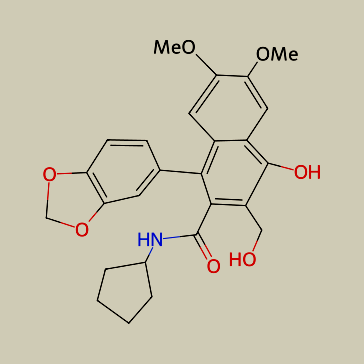 COc1cc2c(O)c(CO)c(C(=O)NC3CCCC3)c(-c3ccc4c(c3)OCO4)c2cc1OC